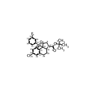 CC(C)(C)OC(=O)N1CCC2(S(=O)(=O)c3cccc(F)c3)c3ccc(Cl)cc3CCC12